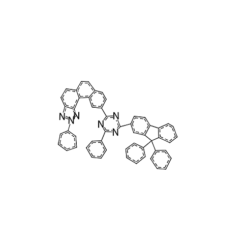 c1ccc(-c2nc(-c3ccc4c(c3)C(c3ccccc3)(c3ccccc3)c3ccccc3-4)nc(-c3ccc4ccc5ccc6nn(-c7ccccc7)nc6c5c4c3)n2)cc1